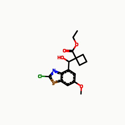 CCOC(=O)C1(C(O)c2cc(OC)cc3sc(Cl)nc23)CCC1